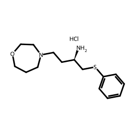 Cl.N[C@H](CCN1CCCOCC1)CSc1ccccc1